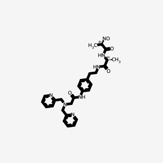 C[C@@H](N=O)C(=O)N[C@H](C)C(=O)NCCc1ccc(NC(=O)CN(Cc2ccccn2)Cc2ccccn2)cc1